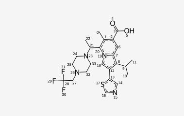 Cc1c(C(=O)O)cc2c(C(C)C)c(-c3cncs3)cn2c1C(C)N1CCN(CC(F)(F)F)CC1